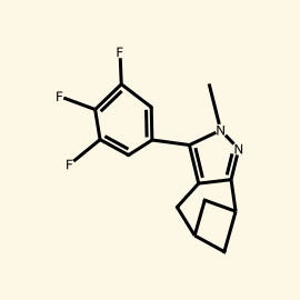 Cn1nc2c(c1-c1cc(F)c(F)c(F)c1)CC1CC2C1